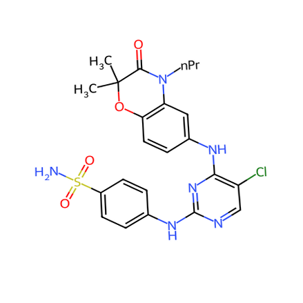 CCCN1C(=O)C(C)(C)Oc2ccc(Nc3nc(Nc4ccc(S(N)(=O)=O)cc4)ncc3Cl)cc21